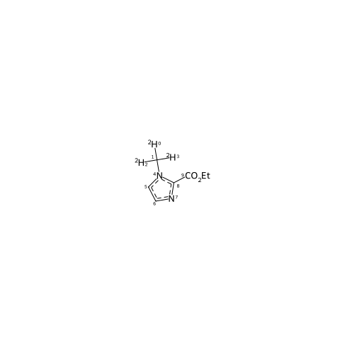 [2H]C([2H])([2H])n1ccnc1C(=O)OCC